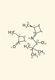 CC1CCC1=O.C[C@H]1CC/C1=N\[S+]([O-])C(C)(C)C